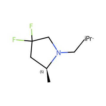 C[C](C)CN1CC(F)(F)C[C@@H]1C